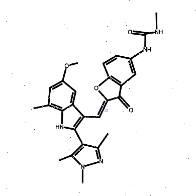 CNC(=O)Nc1ccc2c(c1)C(=O)/C(=C/c1c(-c3c(C)nn(C)c3C)[nH]c3c(C)cc(OC)cc13)O2